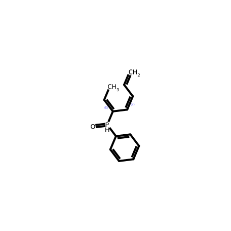 C=C/C=C\C(=C/C)[PH](=O)c1ccccc1